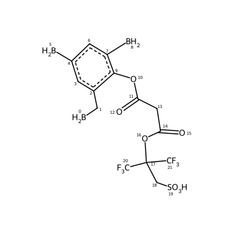 BCc1cc(B)cc(B)c1OC(=O)CC(=O)OC(CS(=O)(=O)O)(C(F)(F)F)C(F)(F)F